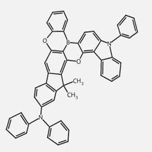 CC1(C)c2cc(N(c3ccccc3)c3ccccc3)ccc2-c2cc3c4c(c21)Oc1c(ccc2c1c1ccccc1n2-c1ccccc1)B4c1ccccc1O3